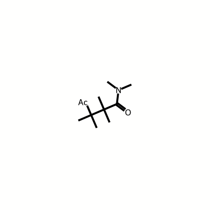 CC(=O)C(C)(C)C(C)(C)C(=O)N(C)C